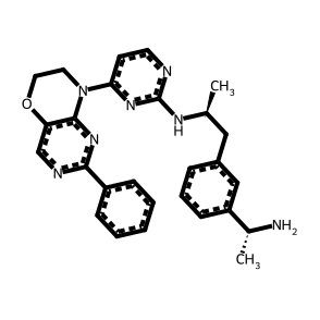 C[C@@H](Cc1cccc([C@@H](C)N)c1)Nc1nccc(N2CCOc3cnc(-c4ccccc4)nc32)n1